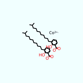 CC(C)CCCCCCCCCc1cccc(C(=O)[O-])c1O.CC(C)CCCCCCCCCc1cccc(C(=O)[O-])c1O.[Co+2]